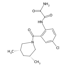 C[C@@H]1C[C@H](C)CN(C(=O)c2cc(Cl)ccc2NC(=O)C(N)=O)C1